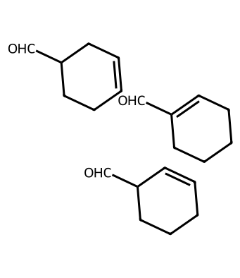 O=CC1=CCCCC1.O=CC1C=CCCC1.O=CC1CC=CCC1